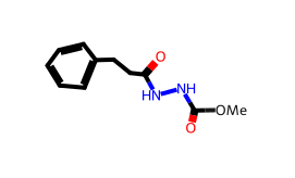 COC(=O)NNC(=O)CCc1ccccc1